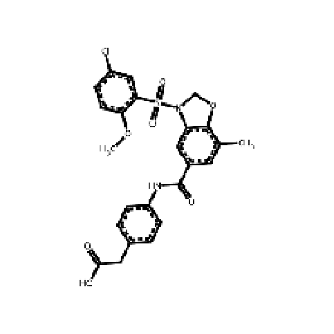 COc1ccc(Cl)cc1S(=O)(=O)N1COc2c(C)cc(C(=O)Nc3ccc(CC(=O)O)cc3)cc21